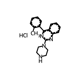 Cc1ccccc1-c1nc(N2CCNCC2)nc2ccccc12.Cl